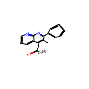 COC(=O)c1c(C)c(-c2ccccc2)nc2ncccc12